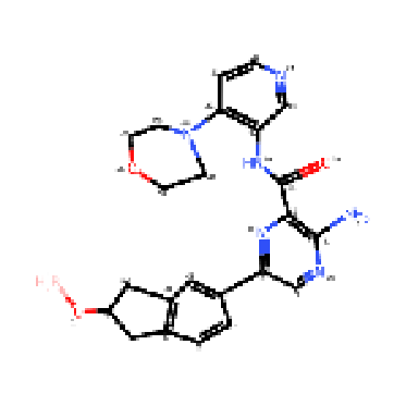 BOC1Cc2ccc(-c3cnc(N)c(C(=O)Nc4cnccc4N4CCOCC4)n3)cc2C1